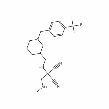 CNCC(C#N)(C#N)NCC1CCCN(Cc2ccc(C(F)(F)F)cc2)C1